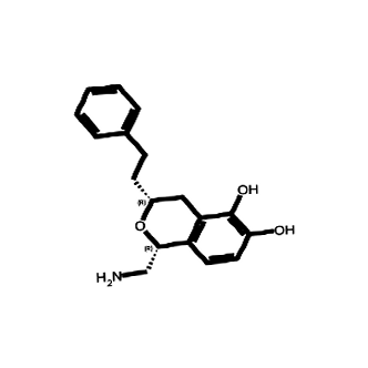 NC[C@@H]1O[C@H](CCc2ccccc2)Cc2c1ccc(O)c2O